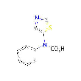 O=C(O)N(c1ccccc1)c1cncs1